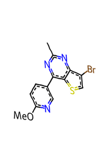 COc1ccc(-c2nc(C)nc3c(Br)csc23)cn1